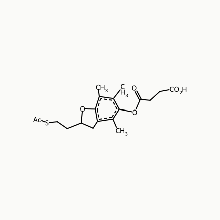 CC(=O)SCCC1Cc2c(C)c(OC(=O)CCC(=O)O)c(C)c(C)c2O1